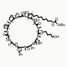 CC[C@@H]1NC(=O)[C@H]([C@H](O)[C@H](C)CCCCCCCCNC(=O)OC(C)(C)C)N(C)C(=O)[C@H](C(C)C)N(C)C(=O)[C@H](CC(C)C)N(C)C(=O)[C@H](CC(C)C)N(C)C(=O)[C@H](C)NC(=O)[C@@H](C)NC(=O)[C@@H](CCC(C)C)N(C)C(=O)[C@@H](C(C)C)NC(=O)[C@H](CC(C)C)N(C)C(=O)[C@@H](CSCCCCO)N(C)C1=O